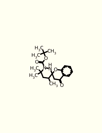 CC1CC(C)(C)N(C(=O)OC(C)(C)C)NC12CC(=O)c1ccccc1O2